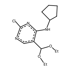 CCOC(OCC)c1cnc(Cl)nc1NC1CCCC1